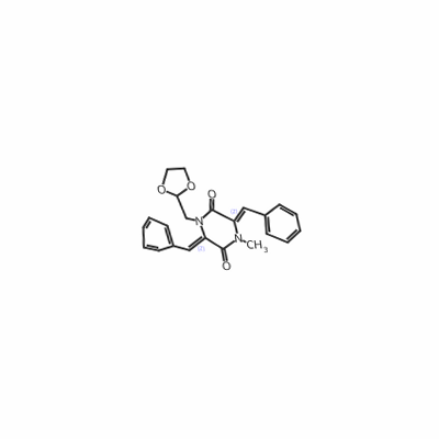 Cn1c(=O)/c(=C/c2ccccc2)n(CC2OCCO2)c(=O)/c1=C/c1ccccc1